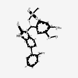 CCOc1cc([C@@H](CS(C)(=O)=O)n2c(=O)[nH]c3cc(-c4ccccc4C(C)C)ccc32)ccc1OC